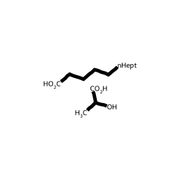 CC(O)C(=O)O.CCCCCCCCCCCC(=O)O